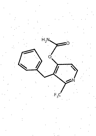 NC(=O)Oc1ccnc(C(F)(F)F)c1Cc1ccccc1